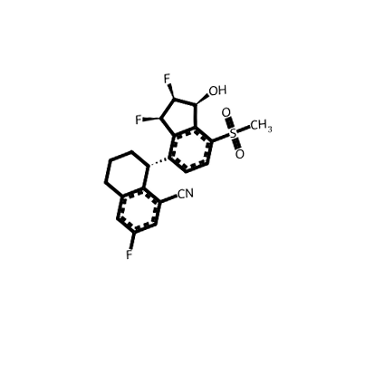 CS(=O)(=O)c1ccc([C@H]2CCCc3cc(F)cc(C#N)c32)c2c1[C@H](O)[C@H](F)[C@@H]2F